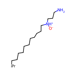 CC(C)CCCCCCCCCCC[NH+]([O-])CCCN